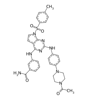 CC(=O)N1CCN(c2ccc(Nc3nc(Nc4cccc(C(N)=O)c4)c4ccn(S(=O)(=O)c5ccc(C)cc5)c4n3)cc2)CC1